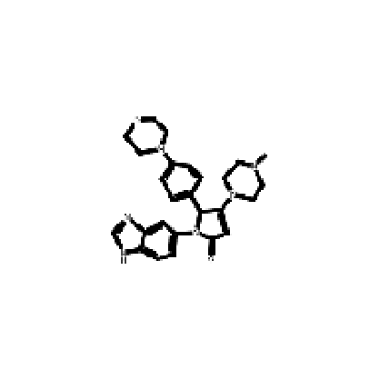 CN1CCN(C2=CC(=O)N(c3ccc4[nH]cnc4c3)C2c2ccc(N3CCOCC3)cc2)CC1